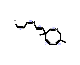 C/C1=C/C=C\C(C)(/C=C/N=C\C=C/F)/C=N\C1